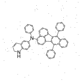 C1=Cc2cc(N(c3ccccc3)c3ccc4c5c(cccc35)-c3c-4c(-c4ccccc4)c4ccccc4c3-c3ccccc3)ccc2NC1